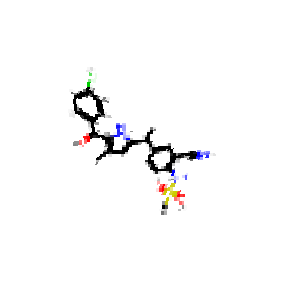 Cc1cc(C(C)c2ccc(NS(C)(=O)=O)c(C#N)c2)[nH]c1C(=O)c1ccc(Cl)cc1